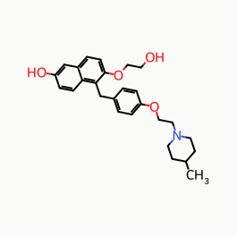 CC1CCN(CCOc2ccc(Cc3c(OCCO)ccc4cc(O)ccc34)cc2)CC1